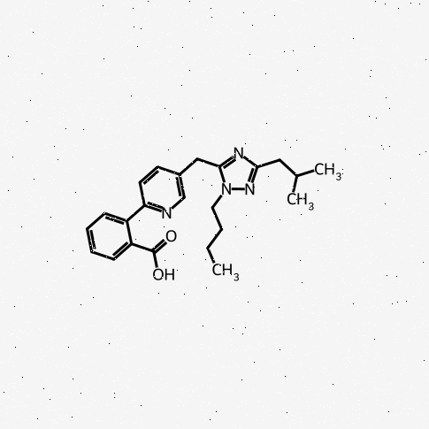 CCCCn1nc(CC(C)C)nc1Cc1ccc(-c2ccccc2C(=O)O)nc1